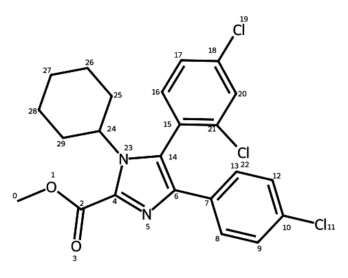 COC(=O)c1nc(-c2ccc(Cl)cc2)c(-c2ccc(Cl)cc2Cl)n1C1CCCCC1